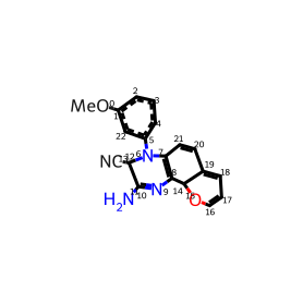 COc1cccc(N2C3=C(N=C(N)C2C#N)C2OC=CC=C2C=C3)c1